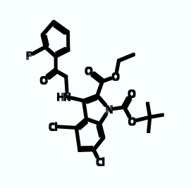 CCOC(=O)c1c(NCC(=O)c2ccccc2F)c2c(Cl)cc(Cl)cc2n1C(=O)OC(C)(C)C